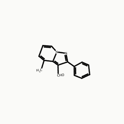 Cc1cccn2nc(-c3ccccc3)c(C=O)c12